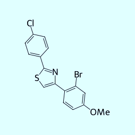 COc1ccc(-c2csc(-c3ccc(Cl)cc3)n2)c(Br)c1